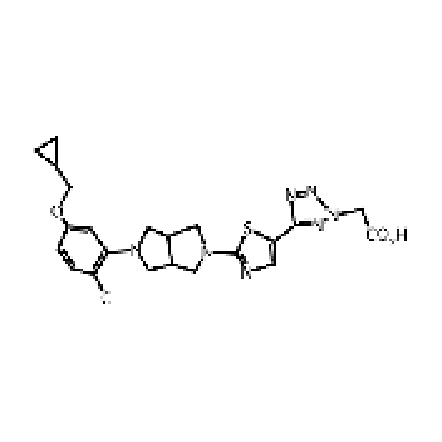 O=C(O)Cn1nnc(-c2cnc(N3CC4CN(c5cc(OCC6CC6)ccc5Cl)CC4C3)s2)n1